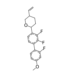 C=CC1CCC(c2ccc(-c3ccc(OC)cc3F)c(F)c2F)OC1